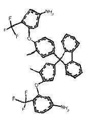 Cc1cc(C2(c3ccc(Oc4cc(N)ccc4C(F)(F)F)c(C)c3)c3ccccc3-c3ccccc32)ccc1Oc1cc(N)ccc1C(F)(F)F